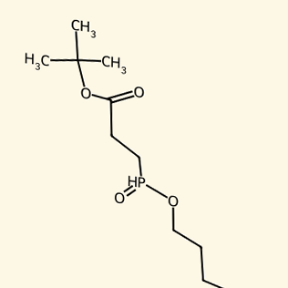 CCCCO[PH](=O)CCC(=O)OC(C)(C)C